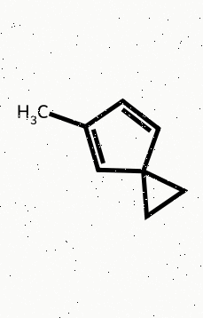 CC1=CC2(C=C1)CC2